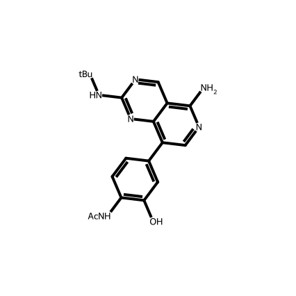 CC(=O)Nc1ccc(-c2cnc(N)c3cnc(NC(C)(C)C)nc23)cc1O